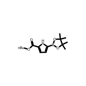 CCCCOC(=O)c1ccc(B2OC(C)(C)C(C)(C)O2)[nH]1